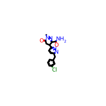 CN1N=C(C(N)=O)C(c2ccc(Cc3cccc(Cl)c3)nn2)CC1=O